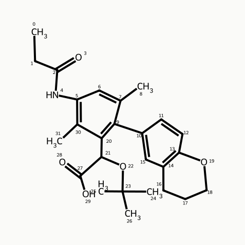 CCC(=O)Nc1cc(C)c(-c2ccc3c(c2)CCCO3)c(C(OC(C)(C)C)C(=O)O)c1C